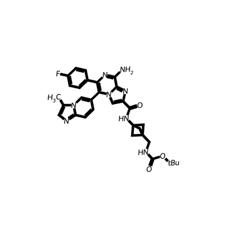 Cc1cnc2ccc(-c3c(-c4ccc(F)cc4)nc(N)c4nc(C(=O)NC56CC(CNC(=O)OC(C)(C)C)(C5)C6)cn34)cn12